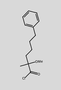 COC(C)(CCCCc1ccccc1)C(=O)Cl